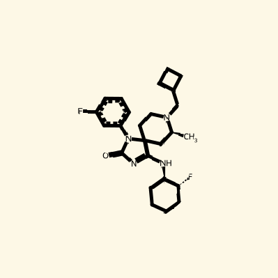 C[C@H]1CC2(CCN1CC1CCC1)C(N[C@@H]1CCCC[C@H]1F)=NC(=O)N2c1cccc(F)c1